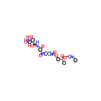 COc1cc(C(=O)N2CCC3(CCN(C(=O)COc4cccc(C(C(=O)OCC5CCN(Cc6ccccc6)CC5)c5ccccc5)c4)CC3)CC2)ccc1CNC[C@H](O)c1ccc(O)c2[nH]c(=O)ccc12